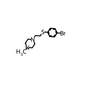 CN1CCN(CCSc2ccc(Br)cc2)CC1